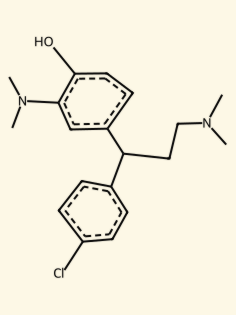 CN(C)CCC(c1ccc(Cl)cc1)c1ccc(O)c(N(C)C)c1